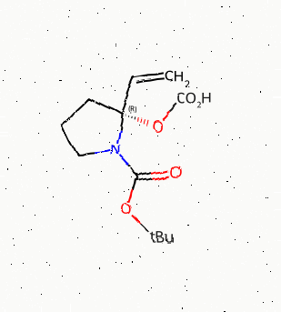 C=C[C@]1(OC(=O)O)CCCN1C(=O)OC(C)(C)C